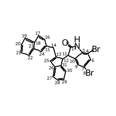 O=C1Nc2c(Br)cc(Br)cc2C1C1C(Cc2ccc3ccccc3c2)=Cc2ccccc21